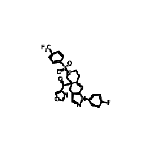 O=C(c1cocn1)C12Cc3cnn(-c4ccc(F)cc4)c3C=C1CCN(S(=O)(=O)c1ccc(C(F)(F)F)cc1)C2